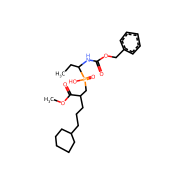 CCC(NC(=O)OCc1ccccc1)P(=O)(O)CC(CCCC1CCCCC1)C(=O)OC